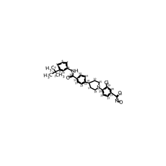 CC(C)(C)c1cccc(NC(=O)c2ccc(C3CCN(c4ccc(C(=O)N=O)cc4Cl)CC3)cc2)c1